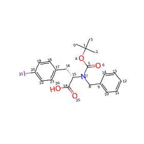 CC(C)(C)OC(=O)N(Cc1ccccc1)[C@@H](Cc1ccc(I)cc1)C(=O)O